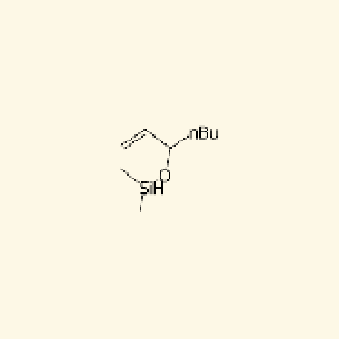 C=CC(CCCC)O[SiH](C)C